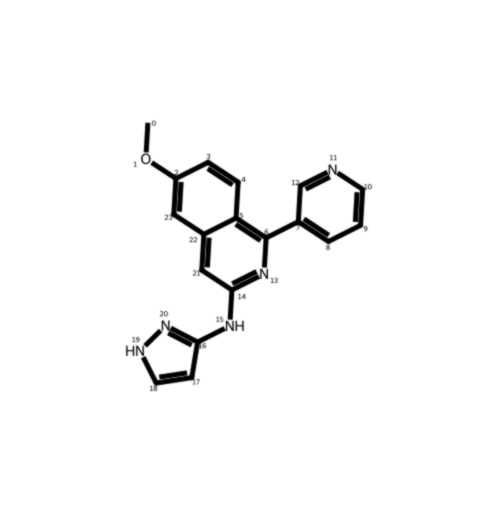 COc1ccc2c(-c3cccnc3)nc(Nc3cc[nH]n3)cc2c1